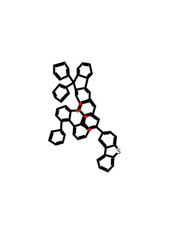 c1ccc(-c2ccccc2-c2c(-c3ccccc3)cccc2N(c2ccc(-c3ccc4sc5ccccc5c4c3)cc2)c2ccc3c(c2)C(c2ccccc2)(c2ccccc2)c2ccccc2-3)cc1